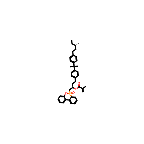 C=C(C)C(=O)O[C@H](CCc1ccc(C(C)(C)c2ccc(CC[C@@H](C)CC)cc2)cc1)CP1(=O)Oc2ccccc2-c2ccccc21